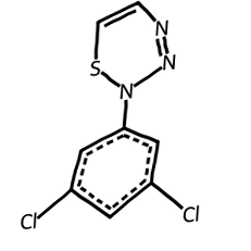 Clc1cc(Cl)cc(N2N=NC=CS2)c1